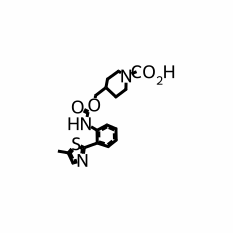 Cc1cnc(-c2ccccc2NC(=O)OCC2CCN(C(=O)O)CC2)s1